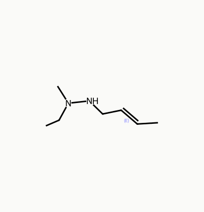 C/C=C/CNN(C)CC